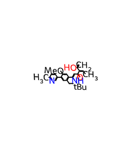 C=C(O)/C(=C/C)C(=O)/C=C1\NC(C(C)(C)C)Cc2cc(-c3ccc(C)nc3)c(OC)cc21